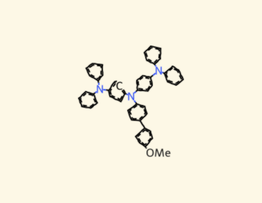 COc1ccc(-c2ccc(N(c3ccc(N(c4ccccc4)c4ccccc4)cc3)c3ccc(N(c4ccccc4)c4ccccc4)cc3)cc2)cc1